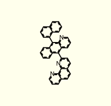 c1ccc2c(-c3c4ccccc4c(-c4ccc5ccc6cccnc6c5n4)c4cccnc34)cccc2c1